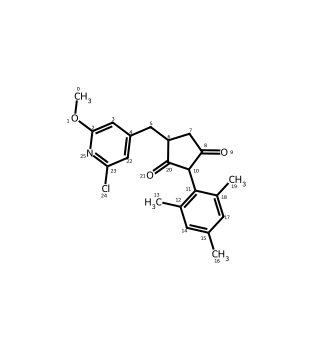 COc1cc(CC2CC(=O)C(c3c(C)cc(C)cc3C)C2=O)cc(Cl)n1